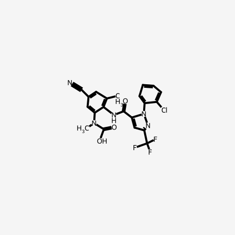 Cc1cc(C#N)cc(N(C)C(=O)O)c1NC(=O)c1cc(C(F)(F)F)nn1-c1ccccc1Cl